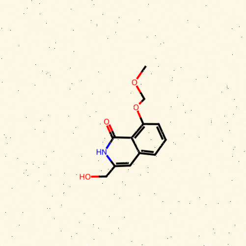 COCOc1cccc2cc(CO)[nH]c(=O)c12